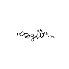 COc1ccc(CNC(=O)OC2=NOC3(CCNCC3)C2)cc1OC